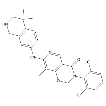 Cc1c(Nc2ccc3c(c2)CNCC3(C)C)ncc2c1OCN(c1c(Cl)cccc1Cl)C2=O